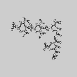 O=[N+]([O-])c1cc([N+](=O)[O-])c([O-])c([N+](=O)[O-])c1.O=[N+]([O-])c1cc([N+](=O)[O-])c([O-])c([N+](=O)[O-])c1.O=[N+]([O-])c1cc([N+](=O)[O-])c([O-])c([N+](=O)[O-])c1.O=[N+]([O-])c1cc([N+](=O)[O-])c([O-])c([N+](=O)[O-])c1.[Pb+4]